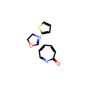 C1=NCCO1.O=c1cccccn1.c1ccsc1